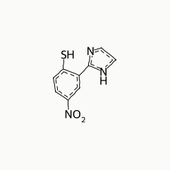 O=[N+]([O-])c1ccc(S)c(-c2ncc[nH]2)c1